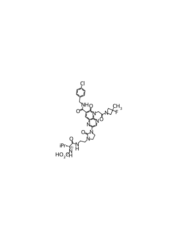 CC(C)[C@H](NC(=O)O)C(=O)NCCN1CCN(c2cnc3c(cc(C(=O)NCc4ccc(Cl)cc4)c(=O)n3CC(=O)N3CC(C)(F)C3)n2)C1=O